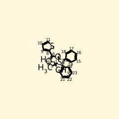 CC(C)(C)[Si](OC(=O)c1cccs1)(c1ccccc1)c1ccccc1